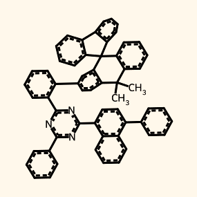 CC1(C)c2ccccc2C2(c3ccccc3-c3ccccc32)c2cc(-c3ccccc3-c3nc(-c4ccccc4)nc(-c4ccc(-c5ccccc5)c5ccccc45)n3)ccc21